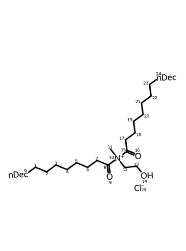 CCCCCCCCCCCCCCCCCC(=O)[N+](C)(CCO)C(=O)CCCCCCCCCCCCCCCCC.[Cl-]